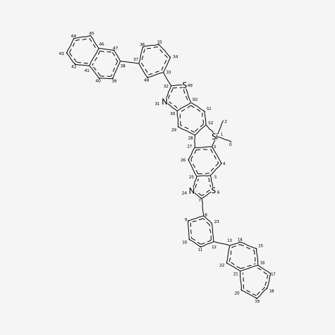 C[Si]1(C)c2cc3sc(-c4cccc(-c5ccc6ccccc6c5)c4)nc3cc2-c2cc3nc(-c4cccc(-c5ccc6ccccc6c5)c4)sc3cc21